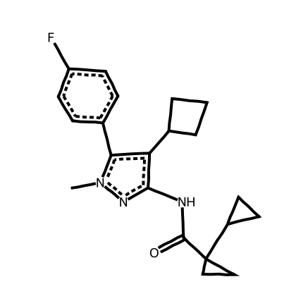 Cn1nc(NC(=O)C2(C3CC3)CC2)c(C2CCC2)c1-c1ccc(F)cc1